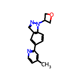 Cc1ccnc(-c2ccc3c(cnn3C3COC3)c2)c1